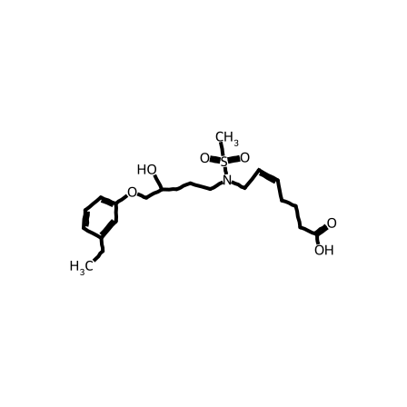 CCc1cccc(OCC(O)CCCN(C/C=C\CCCC(=O)O)S(C)(=O)=O)c1